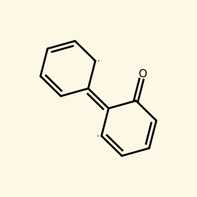 O=C1C=CC=[C]C1=C1[CH]C=CC=C1